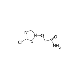 NC(=O)CON1CN=C(Cl)S1